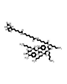 CCN(C(=O)CN(CCCCN)C(=O)CN(C(=O)CN(CCCCN)C(=O)CN(CCCCN)C(=O)CN(CCCCN)C(=O)CCCCCNC(=O)CCCCCNC(=O)CCCCC1SC[C@@H]2NC(=O)N[C@H]12)[C@@H](C)c1ccccc1)[C@@H](C)c1ccccc1